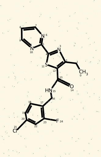 CCc1nc(-c2ncccn2)sc1C(=O)NCc1ccc(Cl)cc1F